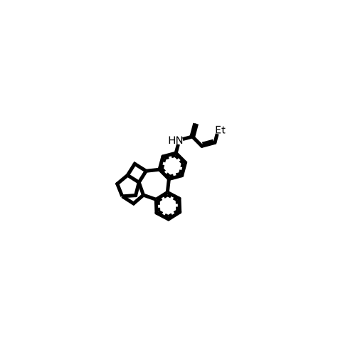 C=C(/C=C\CC)Nc1ccc2c(c1)C1CC3CC4CC(c5ccccc5-2)C31C4